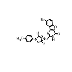 Cc1ccc(N2C[C@@H]3C[C@H]2CN3Cc2nc3c(oc4ccc(Br)cc43)c(=O)[nH]2)cc1